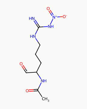 CC(=O)NC(C=O)CCCNC(=N)N[N+](=O)[O-]